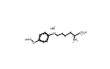 Br.CCCCCCOc1ccc(OCCCCC(N)C(=O)O)cc1